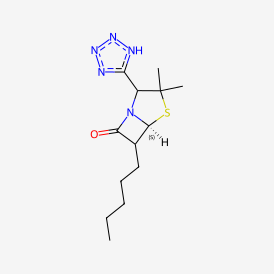 CCCCCC1C(=O)N2C(c3nnn[nH]3)C(C)(C)S[C@@H]12